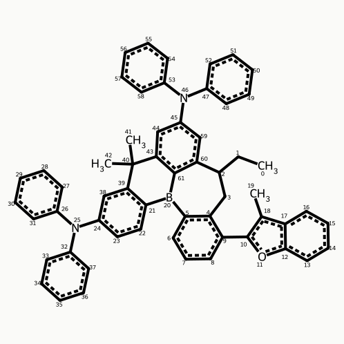 CCC1Cc2c(cccc2-c2oc3ccccc3c2C)B2c3ccc(N(c4ccccc4)c4ccccc4)cc3C(C)(C)c3cc(N(c4ccccc4)c4ccccc4)cc1c32